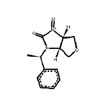 C[C@H](c1ccccc1)N1C(=O)[N+](=O)[C@@H]2COC[C@@H]21